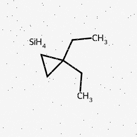 CCC1(CC)CC1.[SiH4]